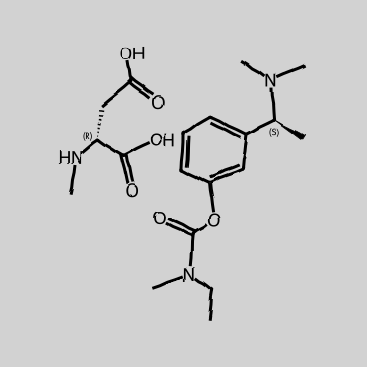 CCN(C)C(=O)Oc1cccc([C@H](C)N(C)C)c1.CN[C@H](CC(=O)O)C(=O)O